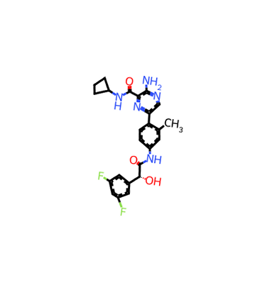 Cc1cc(NC(=O)[C@H](O)c2cc(F)cc(F)c2)ccc1-c1cnc(N)c(C(=O)NC2CCC2)n1